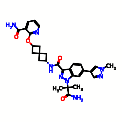 Cn1cc(-c2ccc3c(C(=O)N[C@H]4CC5(C4)C[C@H](Oc4ncccc4C(N)=O)C5)nn(C(C)(C)C(N)=O)c3c2)cn1